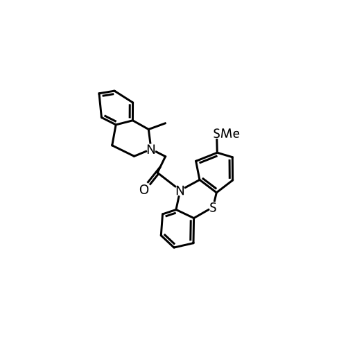 CSc1ccc2c(c1)N(C(=O)CN1CCc3ccccc3C1C)c1ccccc1S2